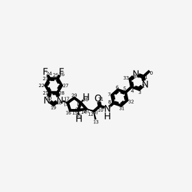 Cc1ncc(-c2ccc(NC(=O)[C@@H](C)[C@H]3[C@@H]4C[C@@H](n5cnc6cc(F)c(F)cc65)C[C@@H]43)cc2)cn1